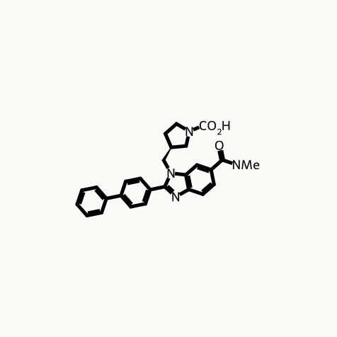 CNC(=O)c1ccc2nc(-c3ccc(-c4ccccc4)cc3)n(C[C@H]3CCN(C(=O)O)C3)c2c1